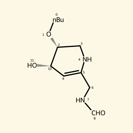 CCCCO[C@@H]1CNC(CNC=O)=C[C@@H]1O